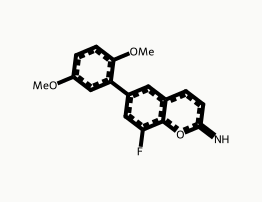 COc1ccc(OC)c(-c2cc(F)c3oc(=N)ccc3c2)c1